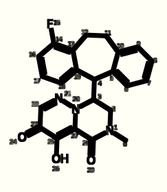 CN1CC(C2c3ccccc3CCc3c(F)cccc32)n2ncc(=O)c(O)c2C1=O